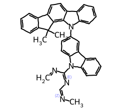 C=N/C(=N\C=N/C)n1c2ccccc2c2cc(-n3c4ccccc4c4ccc5c(c43)C(C)(C)c3ccccc3-5)ccc21